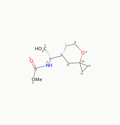 COC(=O)N[C@H](C(=O)O)[C@@H]1CCOC2(CC2)C1